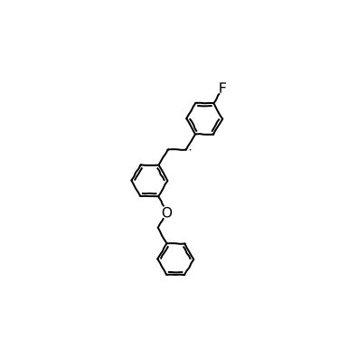 Fc1ccc([CH]Cc2cccc(OCc3ccccc3)c2)cc1